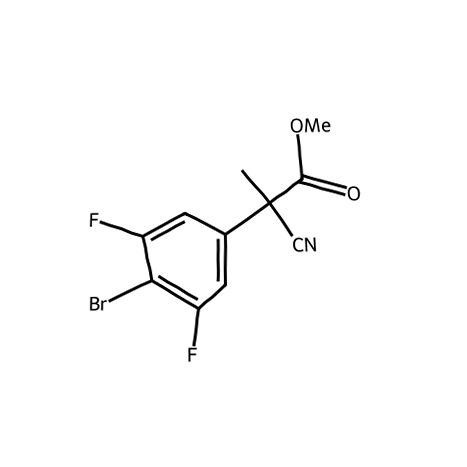 COC(=O)C(C)(C#N)c1cc(F)c(Br)c(F)c1